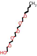 C=CCC=COCCOCCOCCOCCOCCO